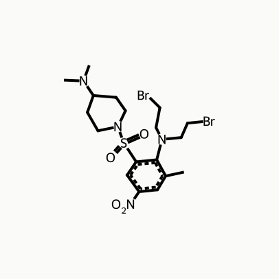 Cc1cc([N+](=O)[O-])cc(S(=O)(=O)N2CCC(N(C)C)CC2)c1N(CCBr)CCBr